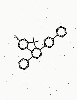 CC1(C)c2cc(Cl)ccc2-c2c(-c3ccccc3)ccc(-c3ccc(-c4ccccc4)cc3)c21